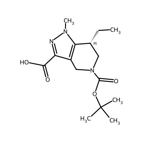 CC[C@@H]1CN(C(=O)OC(C)(C)C)Cc2c(C(=O)O)nn(C)c21